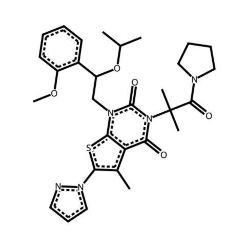 COc1ccccc1C(Cn1c(=O)n(C(C)(C)C(=O)N2CCCC2)c(=O)c2c(C)c(-n3cccn3)sc21)OC(C)C